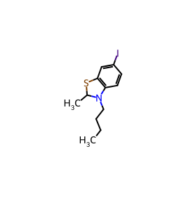 CCCCN1c2ccc(I)cc2SC1C